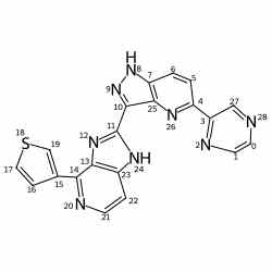 c1cnc(-c2ccc3[nH]nc(-c4nc5c(-c6ccsc6)nccc5[nH]4)c3n2)cn1